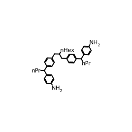 CCCCCCC(Cc1ccc(C(CCC)c2ccc(N)cc2)cc1)Cc1ccc(C(CCC)c2ccc(N)cc2)cc1